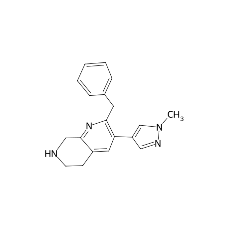 Cn1cc(-c2cc3c(nc2Cc2ccccc2)CNCC3)cn1